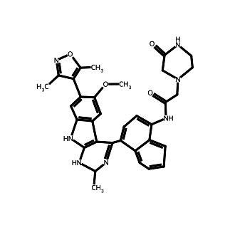 COc1cc2c3c([nH]c2cc1-c1c(C)noc1C)NC(C)N=C3c1ccc(NC(=O)CN2CCNC(=O)C2)c2ccccc12